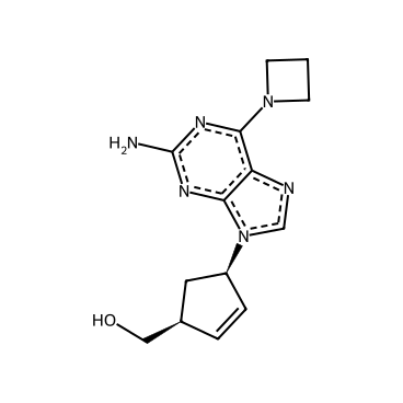 Nc1nc(N2CCC2)c2ncn([C@H]3C=C[C@@H](CO)C3)c2n1